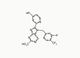 CCCc1ccnc(-c2nc3nc(C(=O)O)ncc3n2Cc2ccc(C(F)(F)F)c(F)c2)c1